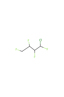 FCC(F)C(F)C(F)Cl